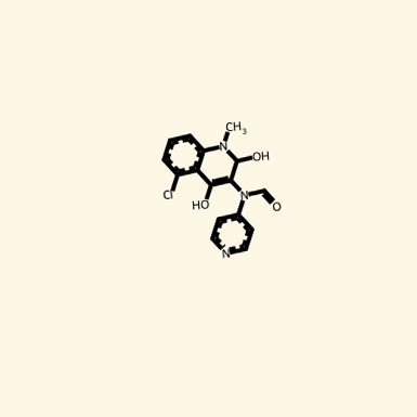 CN1c2cccc(Cl)c2C(O)=C(N(C=O)c2ccncc2)C1O